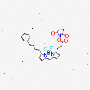 O=C(CCc1ccc2n1[B-](F)(F)[N+]1=C(/C=C/C=C/c3ccccc3)C=CC1=C2)ON1C(=O)CCC1=O